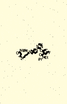 CCN(C(=O)c1cc(F)ccc1Oc1nncnc1N1CCC2(C1)CN([C@H](CCCN(C)[C@H](C)CC(=O)NC)C(C)C)C2)C(C)C